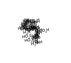 CC[C@H](C)[C@H](NC(=O)[C@H](CC(N)=O)NC(=O)CNC(=O)[C@@H](NC(=O)[C@H](CCCNC(=N)N)NC(=O)[C@H](C)NC(=O)[C@H](CO)NC(=O)[C@H](CCC(=O)O)NC(=O)[C@@H]1CCCN1C(=O)[C@H](C)NC(=O)[C@H](CCCNC(=N)N)NC(=O)[C@H](CC(=O)O)NC(=O)[C@@H](N)CCC(=O)O)C(C)C)C(=O)N1CCC[C@H]1C(=O)N[C@@H](CO)C(=O)N[C@@H](CO)C(=O)N[C@H](C(=O)N[C@@H](CO)C(=O)N[C@@H](C)C(=O)N[C@@H](CC(C)C)C(=O)O)[C@@H](C)O